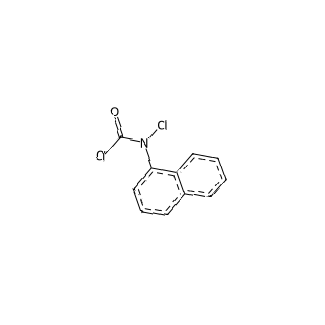 O=C(Cl)N(Cl)c1cccc2ccccc12